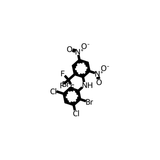 O=[N+]([O-])c1cc([N+](=O)[O-])c(Nc2c(Br)c(Cl)cc(Cl)c2Br)c(C(F)(F)F)c1